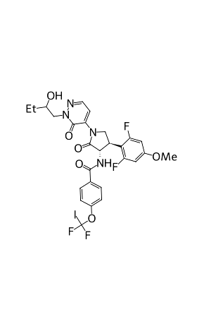 CCC(O)Cn1nccc(N2C[C@@H](c3c(F)cc(OC)cc3F)[C@H](NC(=O)c3ccc(OC(F)(F)I)cc3)C2=O)c1=O